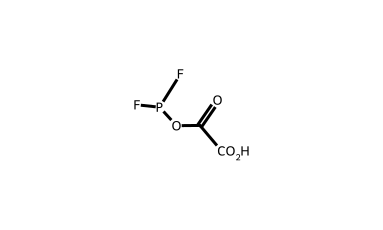 O=C(O)C(=O)OP(F)F